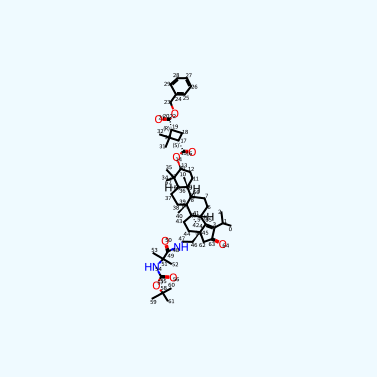 CC(C)C1=C2[C@H]3CC[C@@H]4[C@@]5(C)CC[C@H](OC(=O)[C@H]6C[C@@H](C(=O)OCc7ccccc7)C6(C)C)C(C)(C)[C@@H]5CC[C@@]4(C)[C@]3(C)CC[C@@]2(CCNC(=O)C(C)(C)NC(=O)OC(C)(C)C)CC1=O